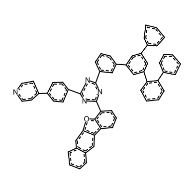 c1ccc(-c2cc(-c3cccc(-c4nc(-c5ccc(-c6ccncc6)cc5)nc(-c5cccc6c5oc5cc7ccccc7cc56)n4)c3)cc(-c3ccccc3-c3ccccc3)c2)cc1